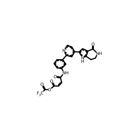 O=C(/C=C\C(=O)OC(=O)C(F)(F)F)Nc1cccc(-c2cc(-c3cc4c([nH]3)CCNC4=O)ccn2)c1